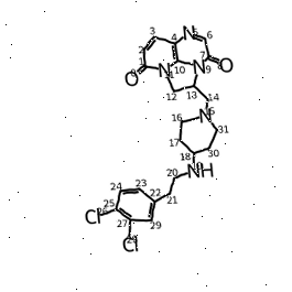 O=c1ccc2ncc(=O)n3c2n1CC3CN1CCC(NCCc2ccc(Cl)c(Cl)c2)CC1